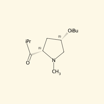 CC(C)CO[C@H]1C[C@@H](C(=O)C(C)C)N(C)C1